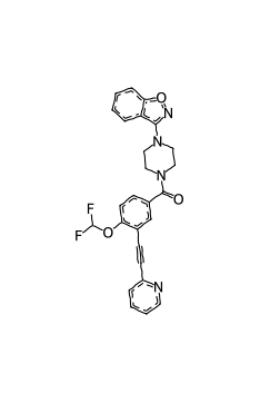 O=C(c1ccc(OC(F)F)c(C#Cc2ccccn2)c1)N1CCN(c2noc3ccccc23)CC1